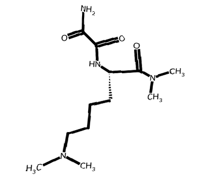 CN(C)CCCC[C@H](NC(=O)C(N)=O)C(=O)N(C)C